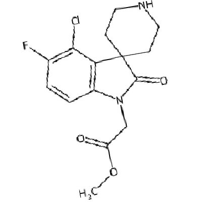 COC(=O)CN1C(=O)C2(CCNCC2)c2c1ccc(F)c2Cl